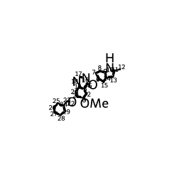 COc1cc2c(Oc3ccc4[nH]c(C)cc4c3)ncnc2cc1OCc1ccccc1